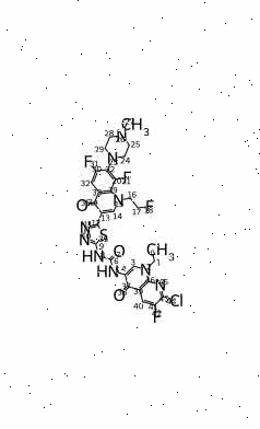 CCn1cc(NC(=O)Nc2nnc(-c3cn(CCF)c4c(F)c(N5CCN(C)CC5)c(F)cc4c3=O)s2)c(=O)c2cc(F)c(Cl)nc21